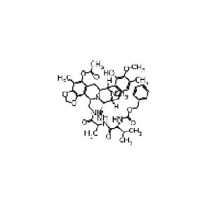 COc1c(C)cc2c(c1O)[C@H]1C3Cc4c(OC(C)=O)c(C)c5c(c4[C@H](CNC(=O)[C@H](C)NC(=O)[C@@H](NC(=O)OCc4ccccc4)C(C)C)N3[C@@H](C#N)[C@@H](C2)N1C)OCO5